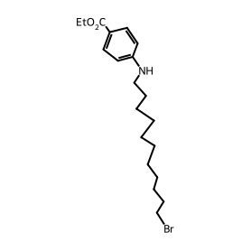 CCOC(=O)c1ccc(NCCCCCCCCCCCBr)cc1